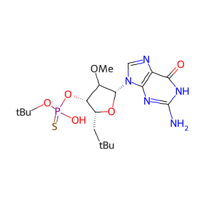 COC1[C@@H](OP(O)(=S)OC(C)(C)C)[C@@H](CC(C)(C)C)O[C@H]1n1cnc2c(=O)[nH]c(N)nc21